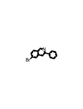 Brc1ccc2cnc(-c3ccccc3)cc2c1